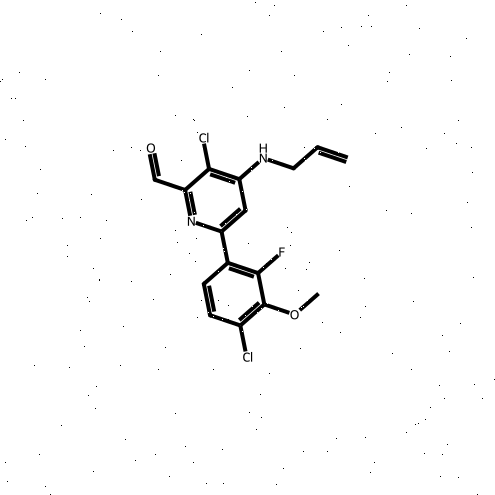 C=CCNc1cc(-c2ccc(Cl)c(OC)c2F)nc(C=O)c1Cl